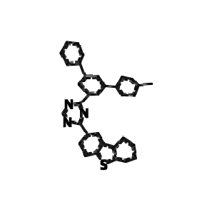 Cc1ccc(-c2cc(-c3ccccc3)cc(-c3ncnc(-c4ccc5sc6ccccc6c5c4)n3)c2)cc1